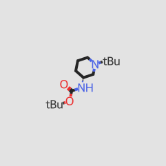 CC(C)(C)OC(=O)N[C@@H]1CCCN(C(C)(C)C)C1